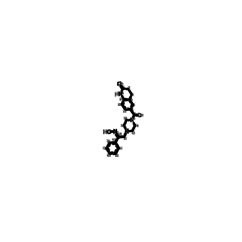 O=C1CCc2cc(C(=O)N3CCN(CC(=NO)c4ccccc4)CC3)ccc2N1